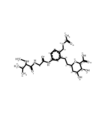 CNC(C(=O)NCC(=O)Nc1ccc(COC(C)=O)c(CCC2CC(O)[C@H](O)C(C(=O)O)O2)c1)C(C)C